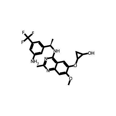 COc1cc2nc(C)nc(N[C@H](C)c3cc(N)cc(C(F)(F)F)c3)c2cc1OC1CC1O